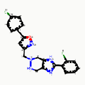 Fc1ccccc1-c1nc2c([nH]1)CN(Cc1cc(-c3ccc(Cl)cc3)on1)NC2